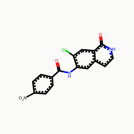 O=C(Nc1cc2cc[nH]c(=O)c2cc1Cl)c1ccc([N+](=O)[O-])cc1